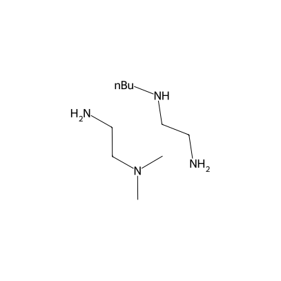 CCCCNCCN.CN(C)CCN